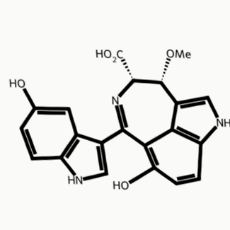 CO[C@@H]1c2c[nH]c3ccc(O)c(c23)C(c2c[nH]c3ccc(O)cc23)=N[C@@H]1C(=O)O